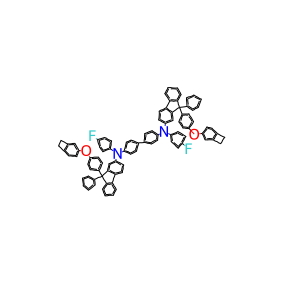 Fc1ccc(N(c2ccc(-c3ccc(N(c4ccc(F)cc4)c4ccc5c(c4)C(c4ccccc4)(c4ccc(Oc6ccc7c(c6)CC7)cc4)c4ccccc4-5)cc3)cc2)c2ccc3c(c2)C(c2ccccc2)(c2ccc(Oc4ccc5c(c4)CC5)cc2)c2ccccc2-3)cc1